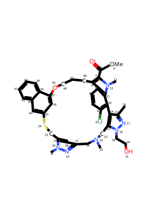 COC(=O)c1c2c3ccc(Cl)c(c3n1C)-c1c(C)nn(CCO)c1CN(C)Cc1cc(n(C)n1)CSc1cc(c3ccccc3c1)OCCC2